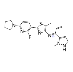 C=C/C(=N\c1nc(-c2ccc(N3CCCC3)nc2F)sc1C)C1=CCNN1C